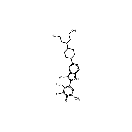 Cc1c(-c2[nH]c3ccc(C4CCN(C(CCO)CCO)CC4)cc3c2C(C)C)cn(C)c(=O)c1Cl